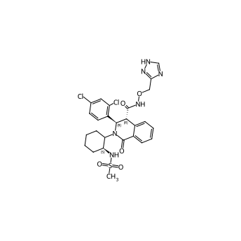 CS(=O)(=O)N[C@H]1CCCCC1N1C(=O)c2ccccc2[C@@H](C(=O)NOCc2nc[nH]n2)[C@@H]1c1ccc(Cl)cc1Cl